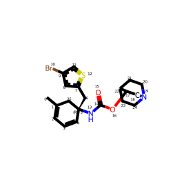 CC1=CC=C[C@@](Cc2cc(Br)cs2)(NC(=O)OC2CN3CCC2CC3)C1